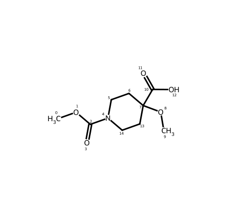 COC(=O)N1CCC(OC)(C(=O)O)CC1